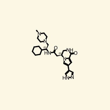 CN1CCN(C[C@@H](NC(=O)C[C@H]2CNC(=O)c3cc(-c4cn[nH]c4)cn32)C2CCCCC2)CC1